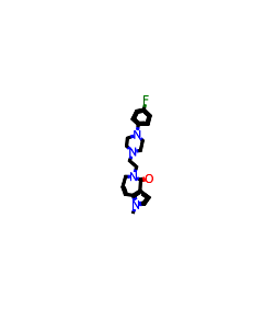 Cn1ccc2c1C=CCN(CCN1CCN(c3ccc(F)cc3)CC1)C2=O